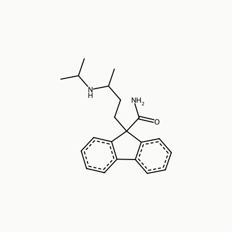 CC(C)NC(C)CCC1(C(N)=O)c2ccccc2-c2ccccc21